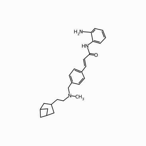 CN(CCC1CC2CC(C1)C2)Cc1ccc(/C=C/C(=O)Nc2ccccc2N)cc1